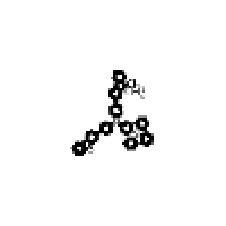 CC1(C)c2ccccc2-c2ccc(-c3ccc(N(c4ccc(-c5ccc6c(c5)sc5ccccc56)cc4)c4ccc([Si](c5ccccc5)(c5ccccc5)c5ccccc5)cc4)cc3)cc21